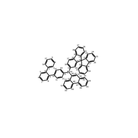 c1ccc(-c2ccccc2-c2ccc(N(c3ccc4c(c3)C3(c5ccccc5-c5ccccc53)c3ccccc3-4)c3cc4ccccc4c4ccccc34)cc2)cc1